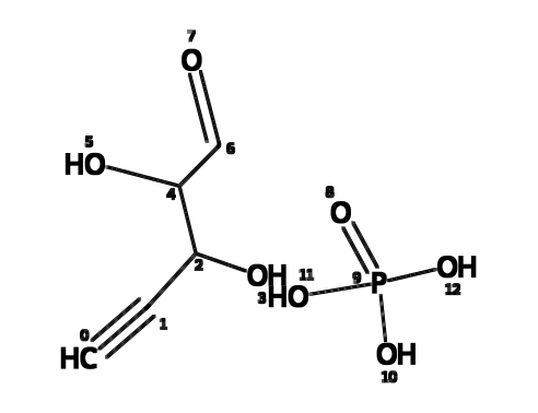 C#CC(O)C(O)C=O.O=P(O)(O)O